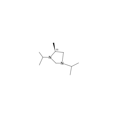 CC(C)N1C[C@H](C)N(C(C)C)C1